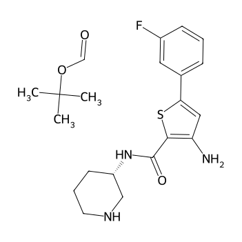 CC(C)(C)OC=O.Nc1cc(-c2cccc(F)c2)sc1C(=O)N[C@H]1CCCNC1